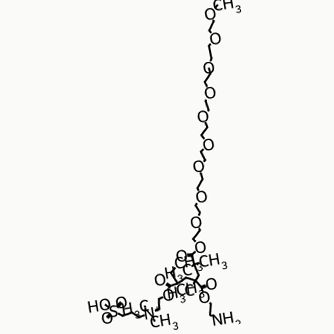 CCC(C)(CC(C)(CC(C)(C)C(=O)OCCOCCOCCOCCOCCOCCOCCOCCOCCOC)C(=O)OCCN)C(=O)OCC[N+](C)(C)CCCS(=O)(=O)O